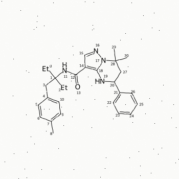 CCC(CC)(Cc1ccc(C)cc1)NC(=O)c1cnn2c1NC(c1ccccc1)CC2(C)C